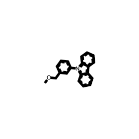 COCc1cccc(-n2c3ccccc3c3ccccc32)c1